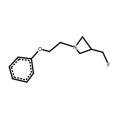 FCC1CN(CCOc2cc[c]cc2)C1